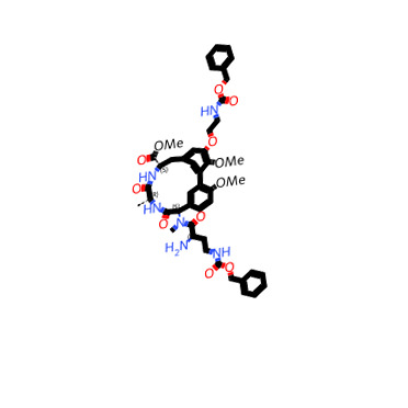 COC(=O)[C@@H]1Cc2cc(OCCNC(=O)OCc3ccccc3)c(OC)c(c2)-c2cc(ccc2OC)[C@H](N(C)C(=O)[C@H](N)CCNC(=O)OCc2ccccc2)C(=O)N[C@H](C)C(=O)N1